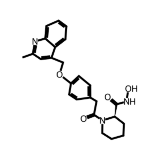 Cc1cc(COc2ccc(CC(=O)N3CCCC[C@@H]3C(=O)NO)cc2)c2ccccc2n1